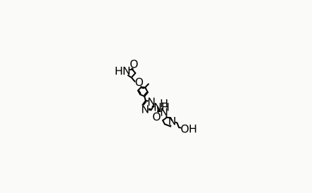 Cc1cc(-c2cncc(NC(=O)NC3CCCN(CCO)C3)n2)ccc1OCC1CNC(=O)C1